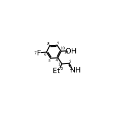 CCC(C=N)c1cc(F)ccc1O